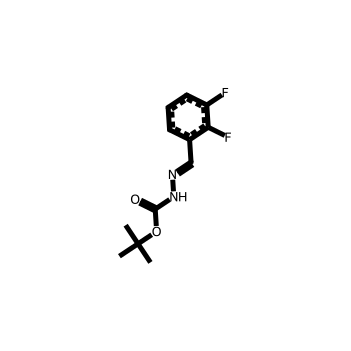 CC(C)(C)OC(=O)N/N=C/c1cccc(F)c1F